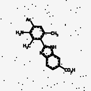 CC(=O)c1cc(C)c(-c2nc3ccc(C(=O)O)cc3[nH]2)c(C)c1N